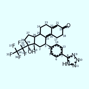 C[C@]12C[C@H](c3ccc(-c4nnn[nH]4)cc3)C3=C4CCC(=O)C=C4CCC3C1CC[C@@]2(O)C(F)(F)C(F)(F)F